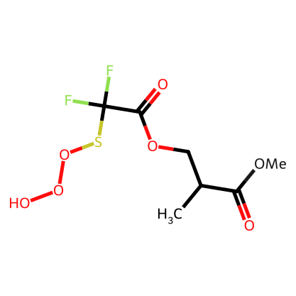 COC(=O)C(C)COC(=O)C(F)(F)SOOO